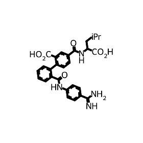 CC(C)CC(NC(=O)c1ccc(-c2ccccc2C(=O)Nc2ccc(C(=N)N)cc2)c(C(=O)O)c1)C(=O)O